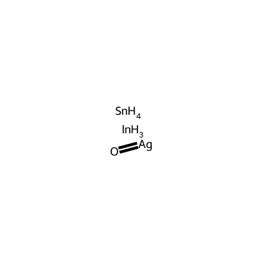 [InH3].[O]=[Ag].[SnH4]